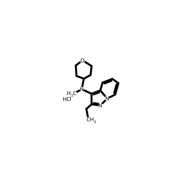 CCc1nn2ccccc2c1N(C)C1CCOCC1.Cl